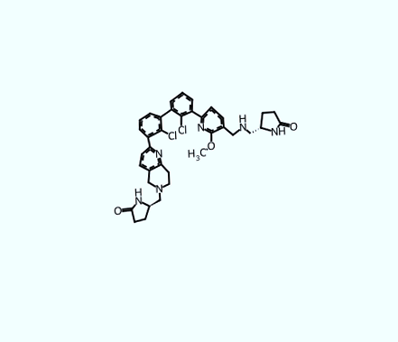 COc1nc(-c2cccc(-c3cccc(-c4ccc5c(n4)CCN(C[C@H]4CCC(=O)N4)C5)c3Cl)c2Cl)ccc1CNC[C@@H]1CCC(=O)N1